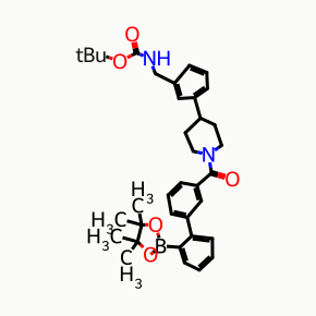 CC(C)(C)OC(=O)NCc1cccc(C2CCN(C(=O)c3cccc(-c4ccccc4B4OC(C)(C)C(C)(C)O4)c3)CC2)c1